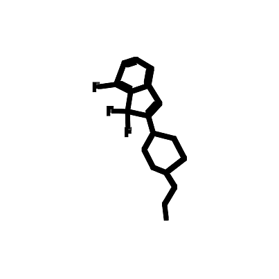 CCCC1CCC(C2=Cc3cccc(F)c3C2(F)F)CC1